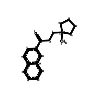 C[N+]1(CCC(=O)c2ccc3ccccc3c2)CCCC1